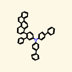 c1ccc(-c2ccc(N(c3ccc(-c4ccccc4)cc3)c3ccc(-c4cccc5c4ccc4c6ccccc6ccc54)c(-c4ccccc4)c3)cc2)cc1